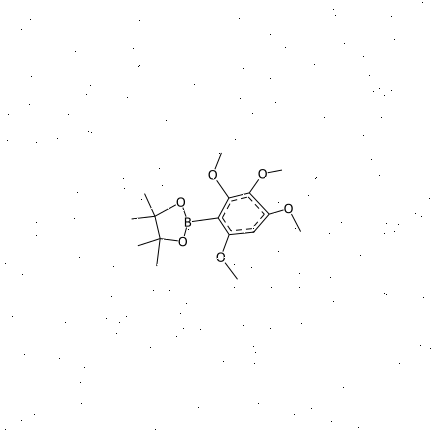 COc1cc(OC)c(B2OC(C)(C)C(C)(C)O2)c(OC)c1OC